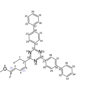 CCC(/C=C\C=C(/C)OC)c1nc(-c2ccc(-c3ccccc3)cc2)nc(-c2ccc(-c3ccccc3)cc2)n1